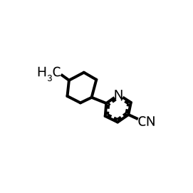 CC1CCC(c2ccc(C#N)cn2)CC1